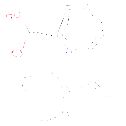 O=C(O)c1ccccn1.O=Cc1ccccc1